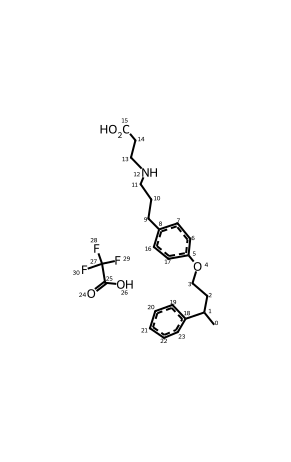 CC(CCOc1ccc(CCCNCCC(=O)O)cc1)c1ccccc1.O=C(O)C(F)(F)F